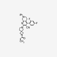 C=CC(=O)N1CC2(CCN(c3nc4c(c(-c5ccc(F)cc5F)c3C#N)CCN(C(C)C)C4)C2)C1